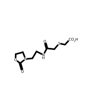 O=C(O)CSCC(=O)NCCN1CCOC1=O